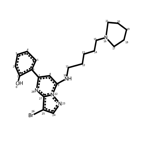 Oc1ccccc1-c1cc(NCCCCCN2CCCCC2)n2ncc(Br)c2n1